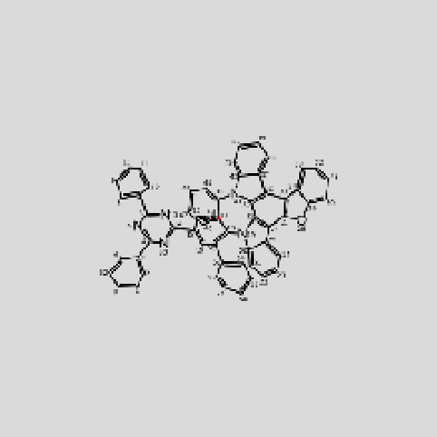 c1ccc(-c2nc(-c3ccccc3)nc(-c3ccc(-n4c5ccccc5c5c6oc7ccccc7c6c6c7ccccc7n(-c7ccccc7)c6c54)c(-c4ccccc4)c3)n2)cc1